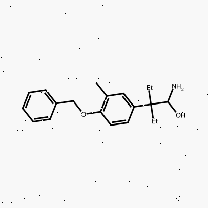 CCC(CC)(c1ccc(OCc2ccccc2)c(C)c1)C(N)O